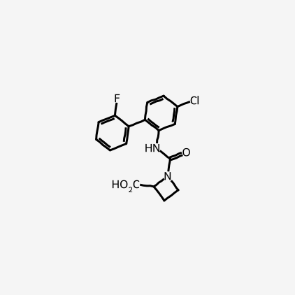 O=C(O)C1CCN1C(=O)Nc1cc(Cl)ccc1-c1ccccc1F